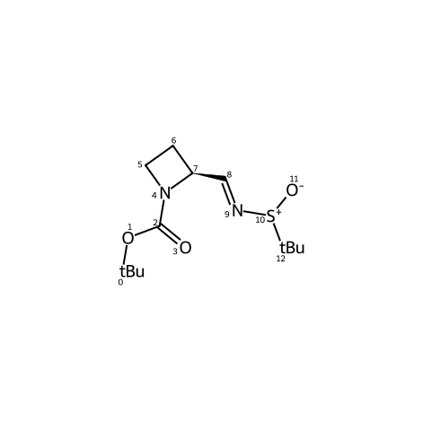 CC(C)(C)OC(=O)N1CC[C@H]1/C=N/[S+]([O-])C(C)(C)C